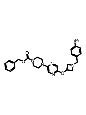 CC(C)c1ccc(CN2CC(Oc3cnc(N4CCN(C(=O)OCc5ccccc5)CC4)cn3)C2)cc1